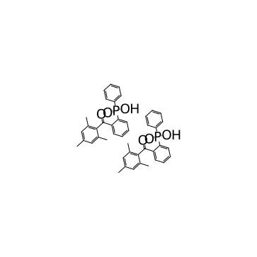 Cc1cc(C)c(C(=O)c2ccccc2P(=O)(O)c2ccccc2)c(C)c1.Cc1cc(C)c(C(=O)c2ccccc2P(=O)(O)c2ccccc2)c(C)c1